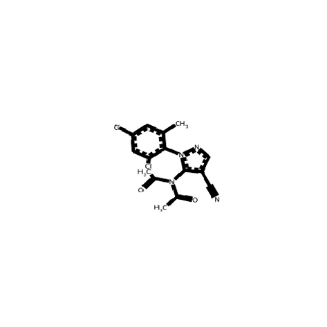 CC(=O)N(C(C)=O)c1c(C#N)cnn1-c1c(C)cc(Cl)cc1Cl